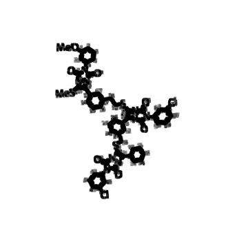 COc1cccc(-n2c(=O)n3c(SC)c(-c4cccc(CCSc5c(-c6cccc(CSc7c(-c8ccccc8)n8c(=O)n(-c9cccc(Cl)c9)c(=O)n78)c6)n6c(=O)n(-c7cccc(Cl)c7)c(=O)n56)c4)n3c2=O)c1